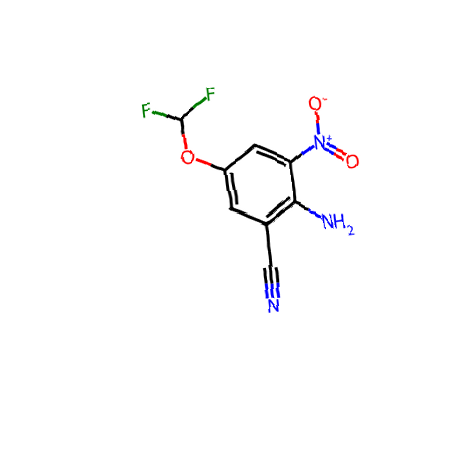 N#Cc1cc(OC(F)F)cc([N+](=O)[O-])c1N